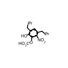 CC(C)Cc1cc(CC(C)C)c([N+](=O)[O-])c(OC(=O)O)c1O